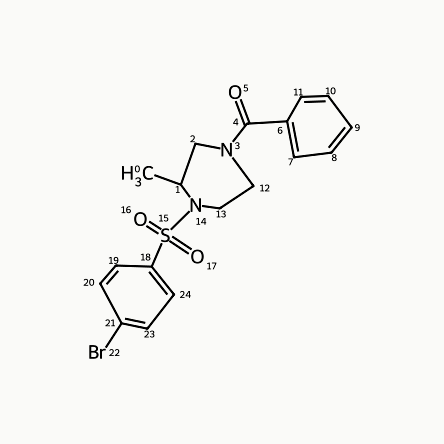 CC1CN(C(=O)c2ccccc2)CCN1S(=O)(=O)c1ccc(Br)cc1